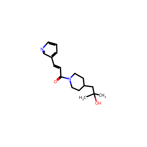 CC(C)(O)CC1CCN(C(=O)/C=C/c2cccnc2)CC1